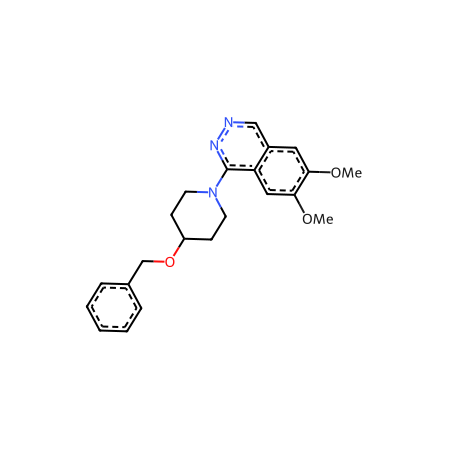 COc1cc2cnnc(N3CCC(OCc4ccccc4)CC3)c2cc1OC